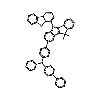 CC1(C)c2ccccc2-c2c1c1cc(-c3ccc(N(c4ccccc4)c4ccc(-c5ccccc5)cc4)cc3)ccc1n2C1=CC=CC2c3ccccc3OC12